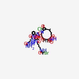 C=C(CBr)C(=O)NCCCCCC(=O)N[C@H](C(=O)N[C@@H](CCCNC(N)=O)C(=O)Nc1ccccc1C(=O)N(C)[C@@H](C)C(=O)O[C@H]1CC(=O)N(C)c2cc(cc(OC)c2Cl)C/C(C)=C/C=C/[C@@H](OC)[C@@]2(O)C[C@H](OC(=O)N2)[C@@H](C)[C@@H]2O[C@@]12C)C(C)C